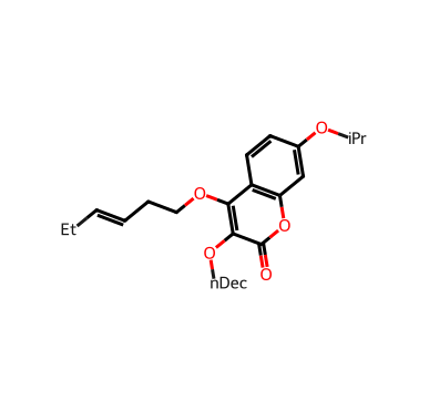 CCC=CCCOc1c(OCCCCCCCCCC)c(=O)oc2cc(OC(C)C)ccc12